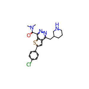 CN(C)C(=O)c1nnc(CC2CCCNC2)c2cc(-c3ccc(Cl)cc3)sc12